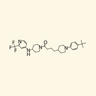 CC(C)(C)c1ccc(N2CCC(CCCC(=O)N3CCC(Nc4ccnc(C(F)(F)F)c4)CC3)CC2)cc1